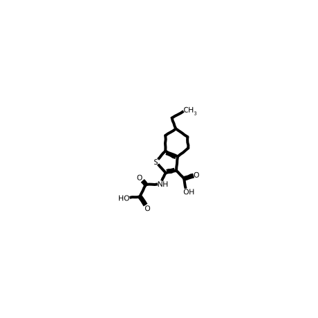 CCC1CCc2c(sc(NC(=O)C(=O)O)c2C(=O)O)C1